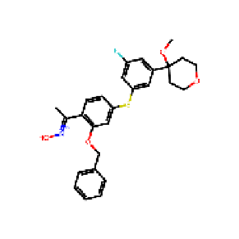 COC1(c2cc(F)cc(Sc3ccc(/C(C)=N/O)c(OCc4ccccc4)c3)c2)CCOCC1